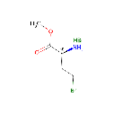 Br.COC(=O)[C@@H](N)CCBr